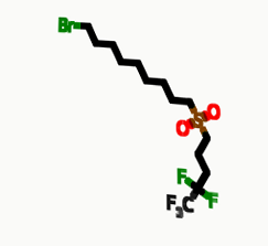 O=S(=O)(CCCCCCCCCBr)CCCC(F)(F)C(F)(F)F